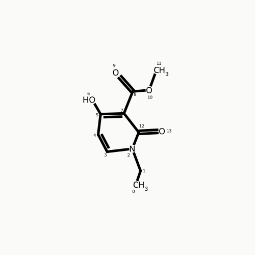 CCn1ccc(O)c(C(=O)OC)c1=O